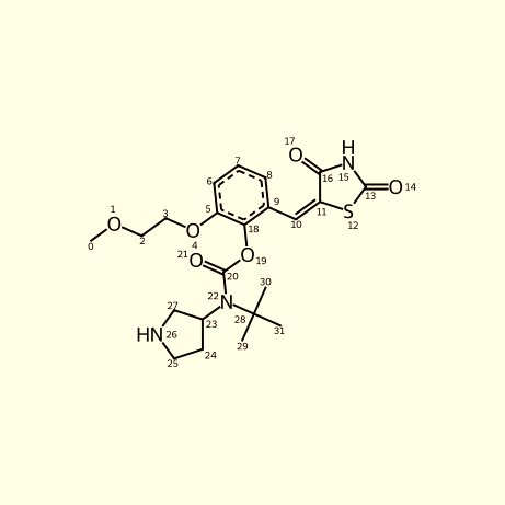 COCCOc1cccc(C=C2SC(=O)NC2=O)c1OC(=O)N(C1CCNC1)C(C)(C)C